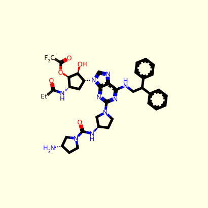 CCC(=O)N[C@H]1C[C@@H](n2cnc3c(NCC(c4ccccc4)c4ccccc4)nc(N4CC[C@@H](NC(=O)N5CC[C@H](N)C5)C4)nc32)[C@H](O)[C@@H]1OC(=O)C(F)(F)F